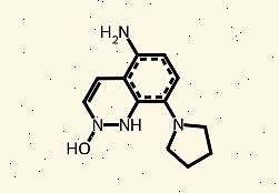 Nc1ccc(N2CCCC2)c2c1C=CN(O)N2